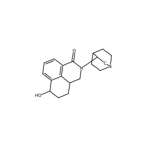 O=C1c2cccc3c2C(CCC3O)CN1C1CN2CCC1CC2